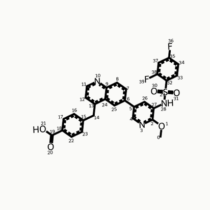 COc1ncc(-c2ccc3nccc(Cc4ccc(C(=O)O)cc4)c3c2)cc1NS(=O)(=O)c1ccc(F)cc1F